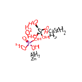 O.O=P(O)(O)O.O[Si](O)(O)O.[AlH3].[CaH2].[SrH2].[Zn]